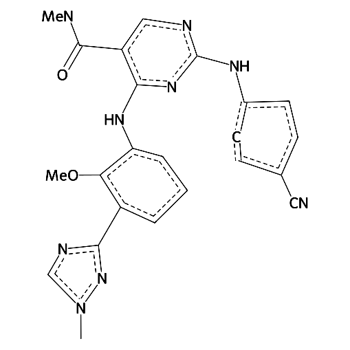 CNC(=O)c1cnc(Nc2ccc(C#N)cc2)nc1Nc1cccc(-c2ncn(C)n2)c1OC